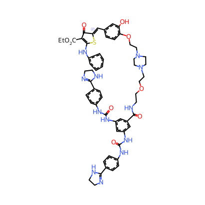 CCOC(=O)C1=C(Nc2ccccc2)S/C(=C\c2ccc(OCCN3CCN(CCOCCNC(=O)c4cc(NC(=O)Nc5ccc(C6=NCCN6)cc5)cc(NC(=O)Nc5ccc(C6=NCCN6)cc5)c4)CC3)c(O)c2)C1=O